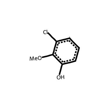 COc1c(Cl)[c]ccc1O